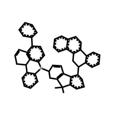 CC1(C)C2=C(C=CC(N(c3ccc(-c4ccccc4)cc3)c3ccccc3C3C=CC=CC3)C2)c2c(C3Cc4c(ccc5ccccc45)-c4ccccc43)cccc21